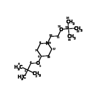 CC(C)(C)COC1CCN(CCOC(C)(C)C)CC1